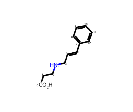 O=C(O)CCNCC=Cc1ccccc1